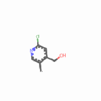 [CH2]c1cnc(Cl)cc1CO